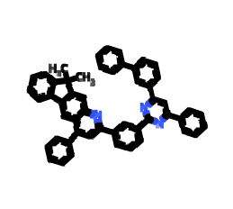 CC1(C)c2ccccc2-c2cc3c(-c4ccccc4)cc(-c4cccc(-c5nc(-c6ccccc6)cc(-c6cccc(-c7ccccc7)c6)n5)c4)nc3cc21